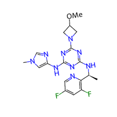 COC1CN(c2nc(Nc3cn(C)cn3)nc(N[C@@H](C)c3ncc(F)cc3F)n2)C1